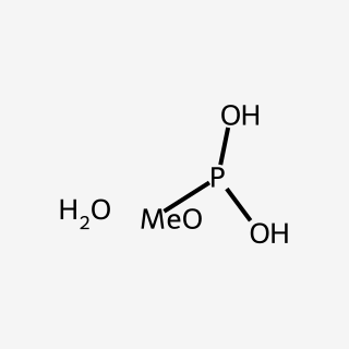 COP(O)O.O